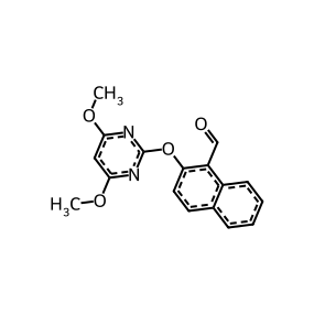 COc1cc(OC)nc(Oc2ccc3ccccc3c2C=O)n1